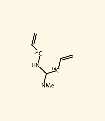 C=C[14CH2]N[C]([14CH2]C=C)NC